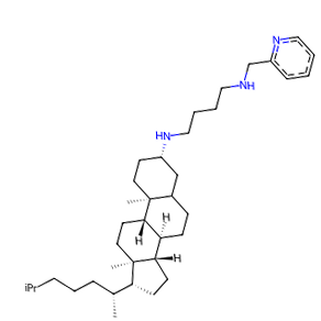 CC(C)CCC[C@@H](C)[C@H]1CC[C@H]2[C@@H]3CCC4C[C@@H](NCCCCNCc5ccccn5)CC[C@]4(C)[C@H]3CC[C@]12C